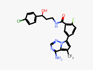 Nc1ncnn2c(-c3ccc(F)c(C(=O)NCC[C@H](O)c4ccc(Cl)cc4)c3)cc(C(F)(F)F)c12